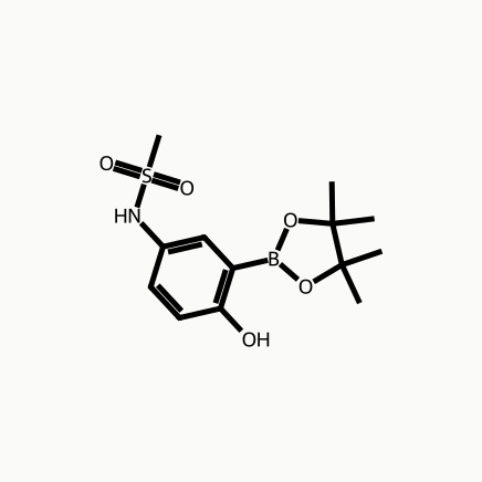 CC1(C)OB(c2cc(NS(C)(=O)=O)ccc2O)OC1(C)C